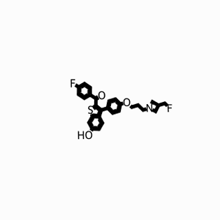 O=C(c1ccc(F)cc1)c1sc2cc(O)ccc2c1-c1ccc(OCCCN2CC(CF)C2)cc1